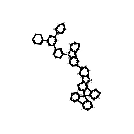 C1=CCCC(c2cc(C3=CCCC(n4c5ccccc5c5cc(-c6ccc7[nH]c8c9c(ccc8c7c6)C6(c7ccccc7-c7ccccc76)c6ccccc6-9)ccc54)=C3)cc(-c3ccccc3)c2)=C1